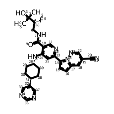 CC(C)(O)[C@H](F)CNC(=O)c1cnc(-c2ccc3cc(C#N)cnn23)cc1N[C@H]1CC[C@H](c2cncnc2)CC1